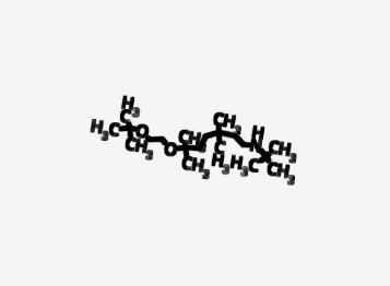 CC(C)(CCNC(C)(C)C)CCC(C)(C)OCCOC(C)(C)C